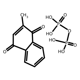 CC1=CC(=O)c2ccccc2C1=O.O=P(O)(O)OP(=O)(O)O